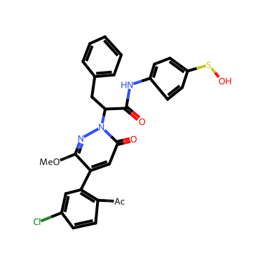 COc1nn(C(Cc2ccccc2)C(=O)Nc2ccc(SO)cc2)c(=O)cc1-c1cc(Cl)ccc1C(C)=O